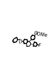 COOc1ccc([C@@H]2c3ccc(OCc4ccccc4)cc3CC[C@@H]2c2ccc(F)cc2)cc1